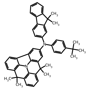 CC(C)(C)c1ccc(N(c2ccc3c(c2)C(C)(C)c2ccccc2-3)c2cc3c4c(c2)c2cccc5c2n4-c2c(cccc2C3(C)C)C5(C)C)cc1